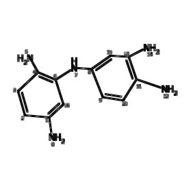 Nc1ccc(N)c(Nc2ccc(N)c(N)c2)c1